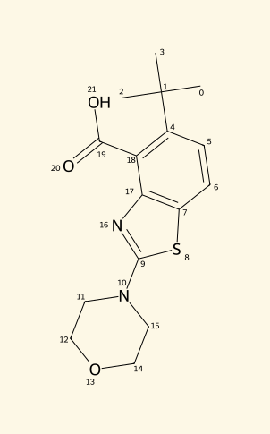 CC(C)(C)c1ccc2sc(N3CCOCC3)nc2c1C(=O)O